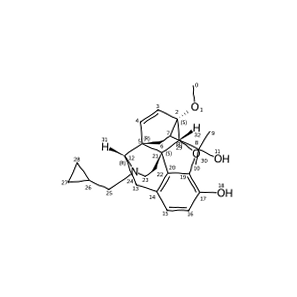 CO[C@@]12C=C[C@@]3(CC1C(C)(C)O)[C@H]1Cc4ccc(O)c5c4[C@@]3(CCN1CC1CC1)[C@H]2O5